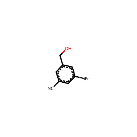 CC(C)c1cc(C#N)cc(CO)c1